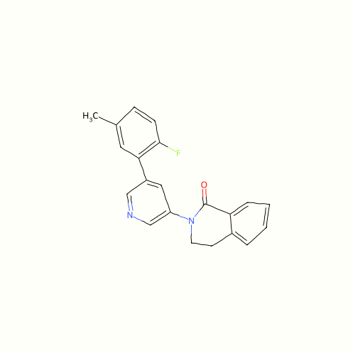 Cc1ccc(F)c(-c2cncc(N3CCc4ccccc4C3=O)c2)c1